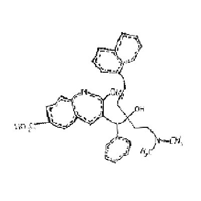 COc1nc2ccc(C(=O)O)cc2cc1C(c1ccccc1)C(O)(CCc1cccc2ccccc12)CCN(C)C